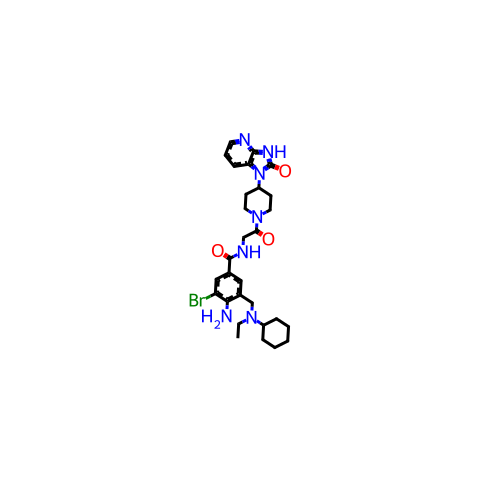 CCN(Cc1cc(C(=O)NCC(=O)N2CCC(n3c(=O)[nH]c4ncccc43)CC2)cc(Br)c1N)C1CCCCC1